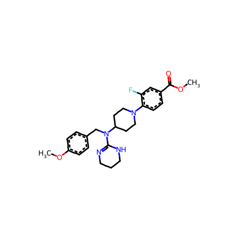 COC(=O)c1ccc(N2CCC(N(Cc3ccc(OC)cc3)C3=NCCCN3)CC2)c(F)c1